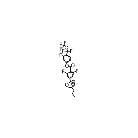 CCCC12COC(c3cc(F)c(C(=O)Oc4ccc(C(F)(F)OC(F)(F)F)c(F)c4)c(F)c3)(OC1)O2